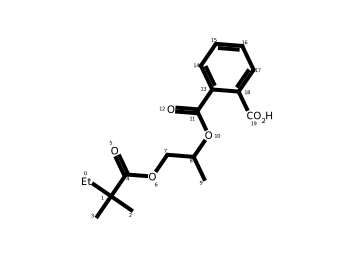 CCC(C)(C)C(=O)OCC(C)OC(=O)c1ccccc1C(=O)O